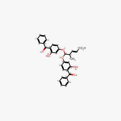 CC(C=CC(=O)O)C(Oc1ccc(C(=O)c2ccccc2)c(O)c1)Oc1ccc(C(=O)c2ccccc2)c(O)c1